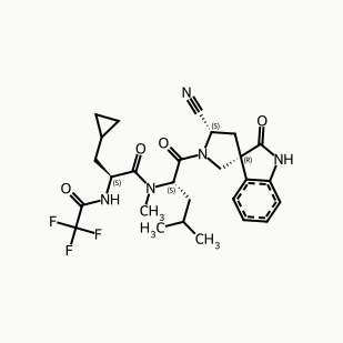 CC(C)C[C@@H](C(=O)N1C[C@]2(C[C@H]1C#N)C(=O)Nc1ccccc12)N(C)C(=O)[C@H](CC1CC1)NC(=O)C(F)(F)F